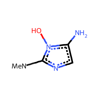 CNc1ncc(N)n1O